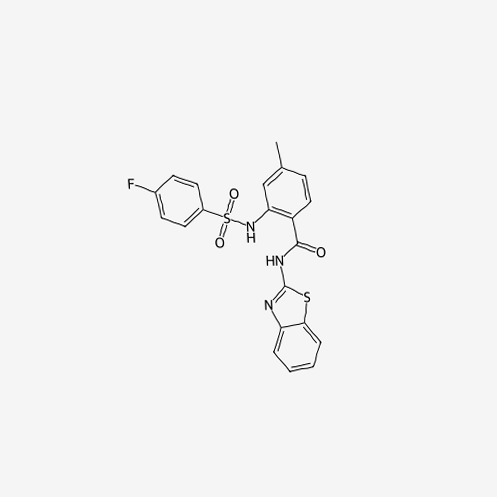 Cc1ccc(C(=O)Nc2nc3ccccc3s2)c(NS(=O)(=O)c2ccc(F)cc2)c1